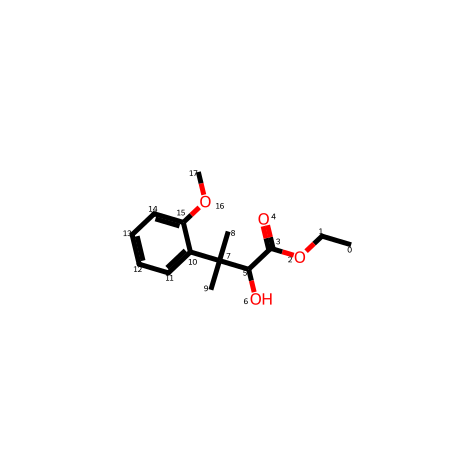 CCOC(=O)C(O)C(C)(C)c1ccccc1OC